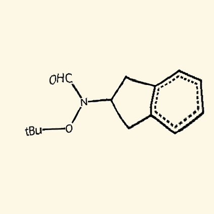 CC(C)(C)ON(C=O)C1Cc2ccccc2C1